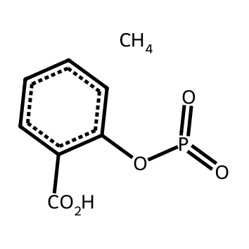 C.O=C(O)c1ccccc1OP(=O)=O